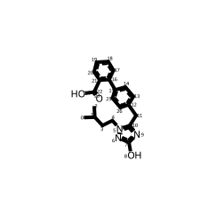 CC(C)CCn1nc(O)nc1Cc1ccc(-c2ccccc2C(=O)O)cc1